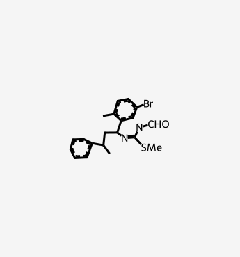 CS/C(=N/C(CC(C)c1ccccc1)c1cc(Br)ccc1C)N(C)C=O